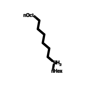 CCCCCCCCCCCCCC[SiH2]CCCCCC